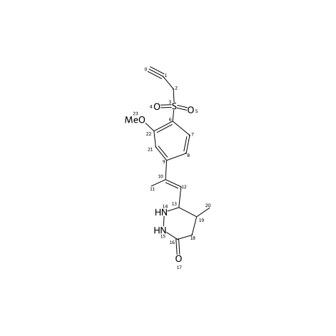 C#CCS(=O)(=O)c1ccc(/C(C)=C/C2NNC(=O)CC2C)cc1OC